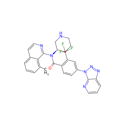 Cc1cccc2ccnc(N(C(=O)c3ccc(-n4nnc5cccnc54)cc3C(F)(F)F)[C@@H]3CCCNC3)c12